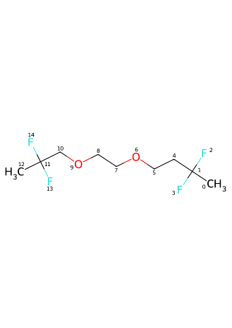 CC(F)(F)CCOCCOCC(C)(F)F